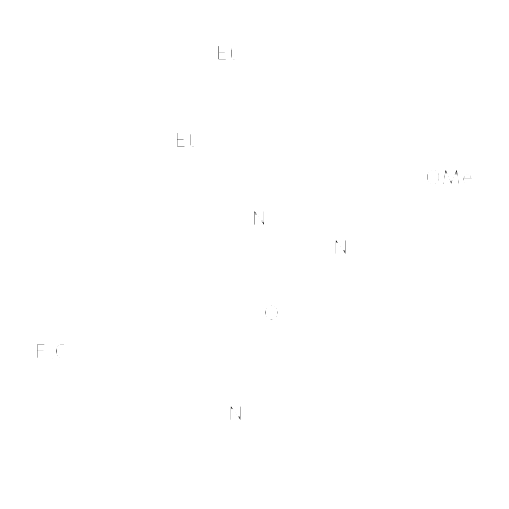 CCC(CC)c1ccc(OC)c2nc(Oc3ccc(C(F)(F)F)cc3N(C)C)n(C)c12